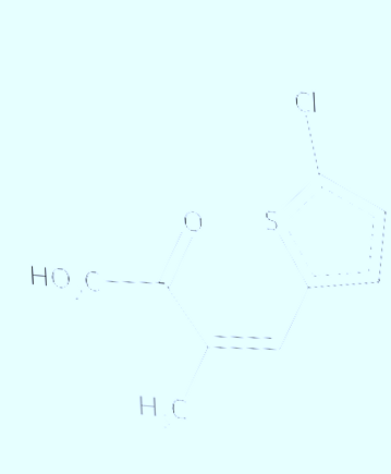 CC(=Cc1ccc(Cl)s1)C(=O)C(=O)O